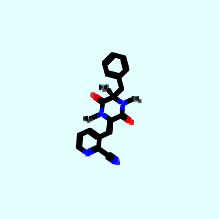 CN1C(=O)[C@](C)(Cc2ccccc2)N(C)C(=O)/C1=C/c1cccnc1C#N